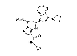 CNc1cc(-n2cc(N3CCCC3)c3ncccc32)nc2c(C(=O)NC3CC3)cnn12